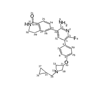 Nc1nc(F)c(-c2ccc(OC3CN(CC4CC4)C3)cc2)cc1-c1ccc2c(c1)CCNC2=O